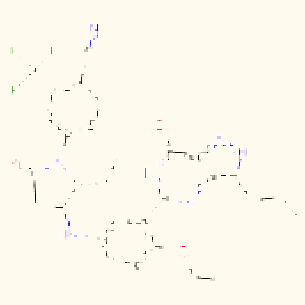 CCCc1nn(C)c2c(=O)[nH]c(-c3cc(N[C@H]4CC(=O)N(c5ccc(C#N)c(C(F)(F)F)c5)[C@@H]4CC)ccc3OCC)nc12